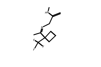 C=C(C/N=C(/C)C1(C(F)(F)F)CCC1)NC